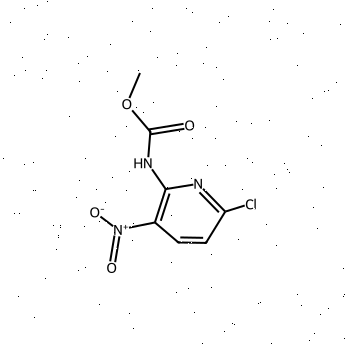 COC(=O)Nc1nc(Cl)ccc1[N+](=O)[O-]